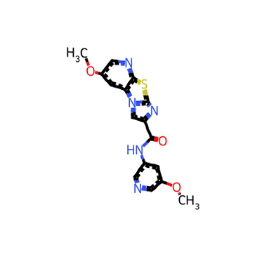 COc1cncc(NC(=O)c2cn3c(n2)sc2ncc(OC)cc23)c1